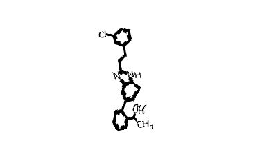 CC(O)c1ccccc1-c1ccc2[nH]c(CCc3cccc(Cl)c3)nc2c1